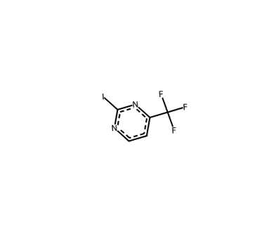 FC(F)(F)c1ccnc(I)n1